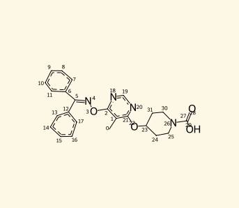 Cc1c(ON=C(c2ccccc2)c2ccccc2)ncnc1OC1CCN(C(=O)O)CC1